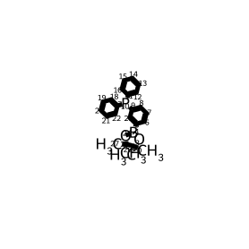 CC1(C)OB(c2cccc(P(c3ccccc3)c3ccccc3)c2)OC1(C)C